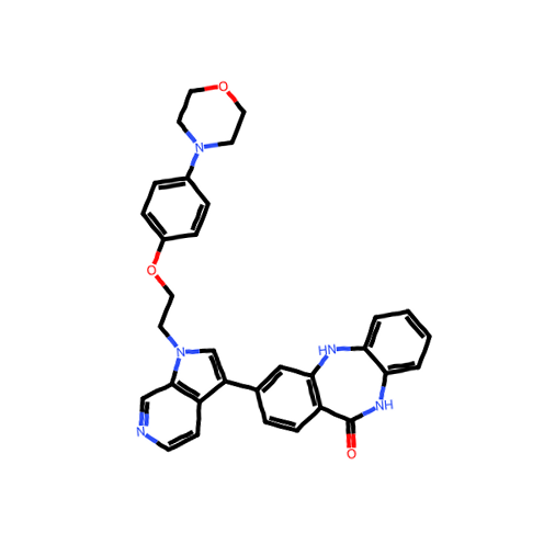 O=C1Nc2ccccc2Nc2cc(-c3cn(CCOc4ccc(N5CCOCC5)cc4)c4cnccc34)ccc21